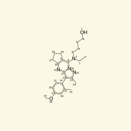 CCN(CCCCO)c1c2c(nc3c(-c4ccc(OC)cc4C)c(C)nn13)CCC2